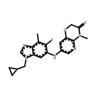 Cc1c(F)c(Nc2cnc3c(c2)OCC(=O)N3C)cc2c1ncn2CC1CC1